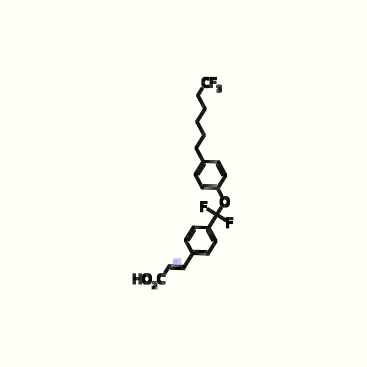 O=C(O)/C=C/c1ccc(C(F)(F)Oc2ccc(CCCCCC(F)(F)F)cc2)cc1